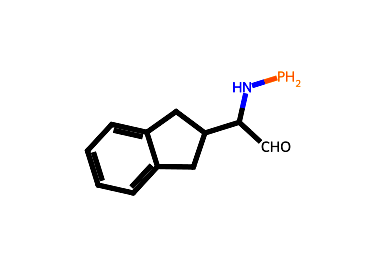 O=CC(NP)C1Cc2ccccc2C1